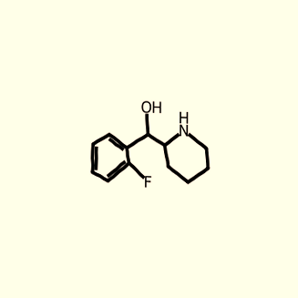 OC(c1ccccc1F)C1CCCCN1